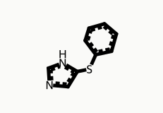 c1ccc(Sc2cnc[nH]2)cc1